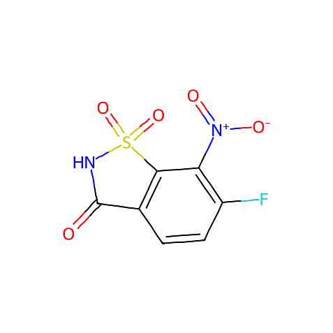 O=C1NS(=O)(=O)c2c1ccc(F)c2[N+](=O)[O-]